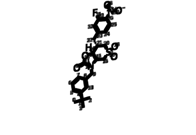 CC(C)(C)c1cccc(CN2C(=O)O[C@@H]3C2CS(=O)(=O)C[C@H]3Cc2ccc([N+](=O)[O-])c(F)c2)c1